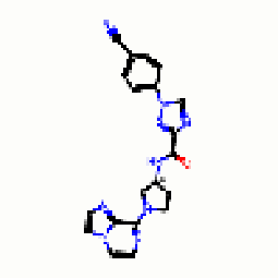 N#Cc1ccc(-n2cnc(C(=O)N[C@H]3CCN(c4nccn5ccnc45)C3)n2)cc1